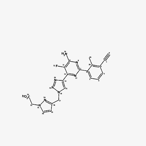 C#Cc1cccc(-c2nc(N)c(F)c(-c3cn(Cc4ccn(CC(=O)O)n4)nn3)n2)c1C